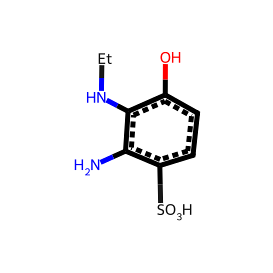 CCNc1c(O)ccc(S(=O)(=O)O)c1N